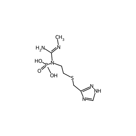 CN=C(N)N(CCSCc1nc[nH]n1)P(=O)(O)O